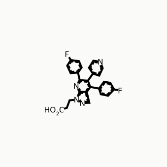 O=C(O)CCn1ncc2c(-c3ccc(F)cc3)c(-c3ccncc3)c(-c3ccc(F)cc3)nc21